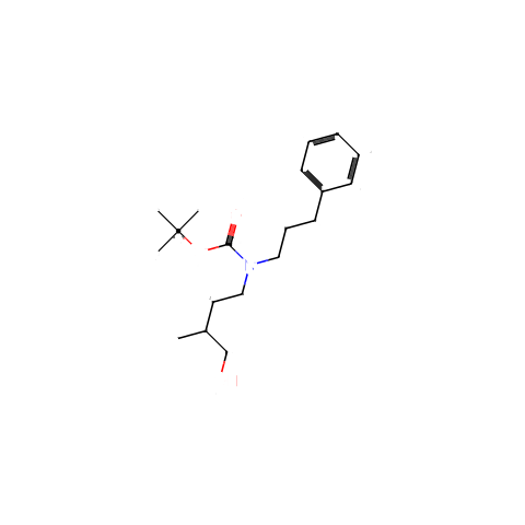 CC(CO)CCN(CCCc1ccccc1)C(=O)OC(C)(C)C